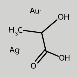 CC(O)C(=O)O.[Ag].[Au]